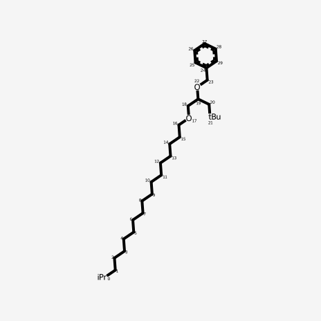 CC(C)CCCCCCCCCCCCCCCCOCC(CC(C)(C)C)OCc1ccccc1